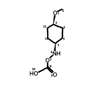 CO[C@H]1CC[C@@H](NOC(=O)O)CC1